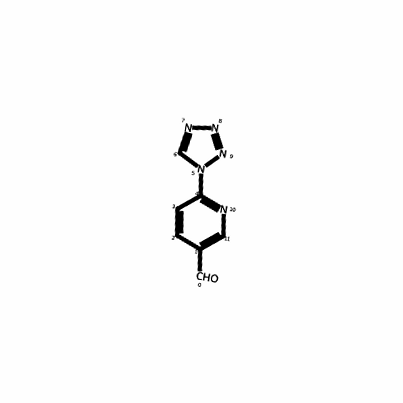 O=Cc1ccc(-n2cnnn2)nc1